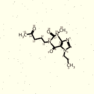 CCCn1cnc2c1c(=O)n(CCCC(C)=O)c(=O)n2C